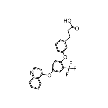 O=C(O)CCc1cccc(Oc2ccc(Oc3ccnc4ccccc34)cc2C(F)(F)F)c1